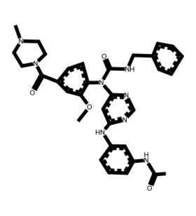 COc1cc(C(=O)N2CCN(C)CC2)ccc1N(C(=O)NCc1ccccc1)c1cc(Nc2cccc(NC(C)=O)c2)ncn1